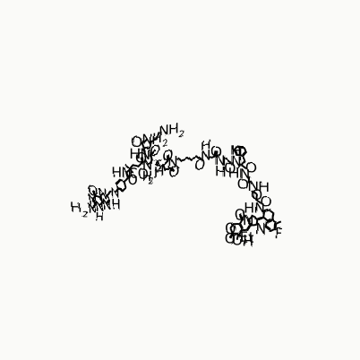 CC[C@@]1(O)C(=O)OCc2c1cc1n(c2=O)Cc2c-1nc1cc(F)c(C)c3c1c2[C@@H](NC(=O)COCNC(=O)CNC(=O)[C@@](C)(Cc1ccccc1)NC(=O)CNC(=O)CNC(=O)CCCCCN1C(=O)CC(SC[C@H](NC(=O)CCC(C)(NC(=O)c2ccc(NCc4cnc5[nH]c(N)nc(=O)c5n4)cc2)C(=O)O)C(=O)N[C@](C)(CCCCN)C(N)=O)C1=O)CC3